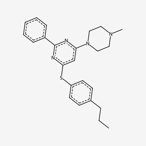 CCCc1ccc(Sc2cc(N3CCN(C)CC3)nc(-c3ccccc3)n2)cc1